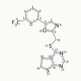 FC(F)(F)c1cccc(-c2cnc(CSc3ncnc4sccc34)o2)c1